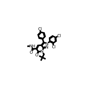 CNC(=O)c1cc2c(-c3ccc(Cl)cc3)n(-c3ccc(Cl)cc3Cl)nc2n(CC(C)(C)C)c1=O